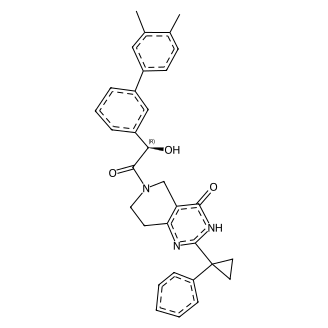 Cc1ccc(-c2cccc([C@@H](O)C(=O)N3CCc4nc(C5(c6ccccc6)CC5)[nH]c(=O)c4C3)c2)cc1C